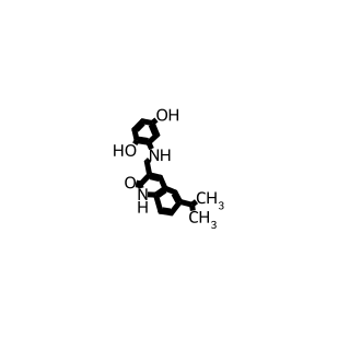 CC(C)c1ccc2[nH]c(=O)c(CNc3cc(O)ccc3O)cc2c1